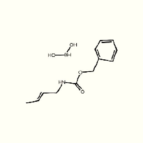 CC=CCNC(=O)OCc1ccccc1.OBO